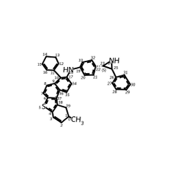 CC1C=Cc2sc3ccc4c(C5=CCCC=C5)c(Nc5ccc([C@@H]6NC6c6ccccc6)cc5)ccc4c3c2C1